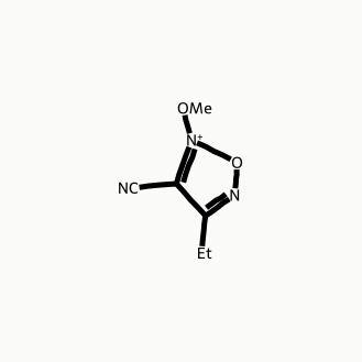 CCc1no[n+](OC)c1C#N